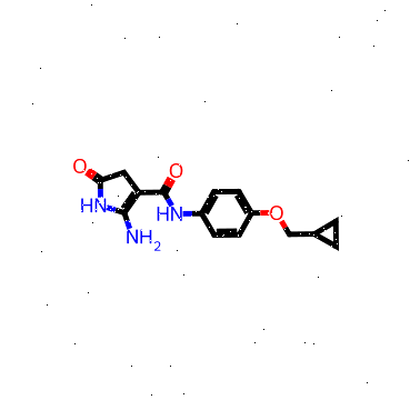 NC1=C(C(=O)Nc2ccc(OCC3CC3)cc2)CC(=O)N1